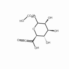 O=C(O)O.O=C=C(O)[C@H]1OC(O)[C@@H](O)[C@@H](O)[C@@H]1O